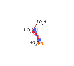 O=C(O)CCCCCCCCCCCCCCCC(=O)N[C@@H](CCC(=O)NCCOCCOCC(=O)NCCOCCOCC(=O)/N=C\CCC[C@H](NP)C(=O)O)C(=O)O